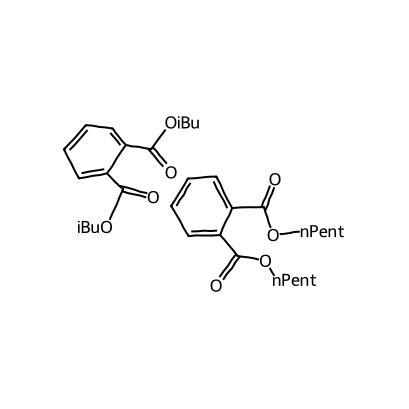 CC(C)COC(=O)c1ccccc1C(=O)OCC(C)C.CCCCCOC(=O)c1ccccc1C(=O)OCCCCC